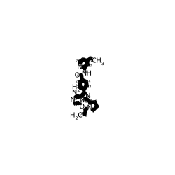 C=CC(=O)N1CCCC1c1nc(-c2ccc(C(=O)Nc3cc(CC)ccn3)cc2)c2c(N)nccn12